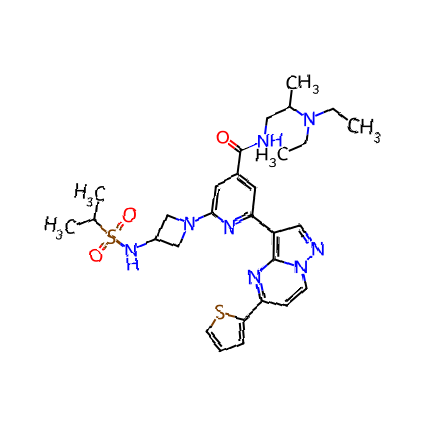 CCN(CC)C(C)CNC(=O)c1cc(-c2cnn3ccc(-c4cccs4)nc23)nc(N2CC(NS(=O)(=O)C(C)C)C2)c1